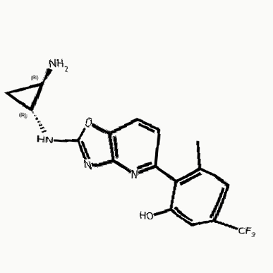 Cc1cc(C(F)(F)F)cc(O)c1-c1ccc2oc(N[C@@H]3C[C@H]3N)nc2n1